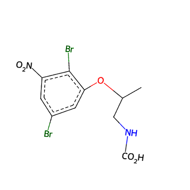 CC(CNC(=O)O)Oc1cc(Br)cc([N+](=O)[O-])c1Br